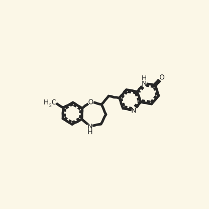 Cc1ccc2c(c1)OC(Cc1cnc3ccc(=O)[nH]c3c1)CCN2